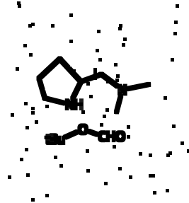 CC(C)(C)OC=O.CN(C)CC1CCCN1